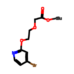 CC(C)(C)OC(=O)COCCOc1cc(Br)ccn1